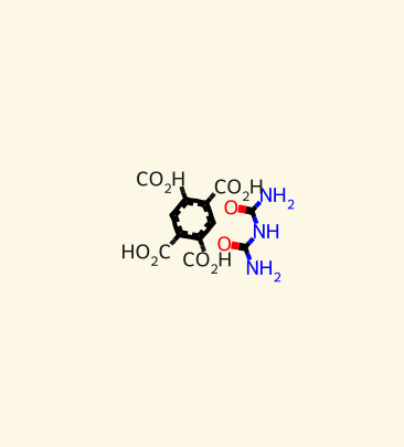 NC(=O)NC(N)=O.O=C(O)c1cc(C(=O)O)c(C(=O)O)cc1C(=O)O